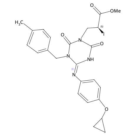 COC(=O)[C@@H](I)Cn1c(=O)[nH]/c(=N\c2ccc(OC3CC3)cc2)n(Cc2ccc(C)cc2)c1=O